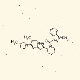 Cc1cn2nc([C@@H]3CCCCN3C(=O)c3nn(C)c4ccccc34)cc2nc1N1CC[C@H](C)C1